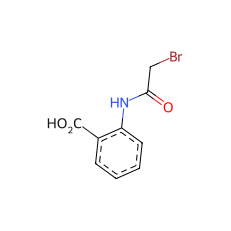 O=C(CBr)Nc1ccccc1C(=O)O